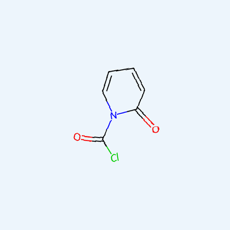 O=C(Cl)n1ccccc1=O